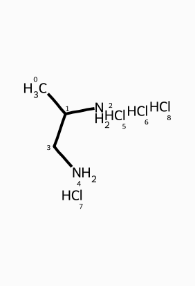 CC(N)CN.Cl.Cl.Cl.Cl